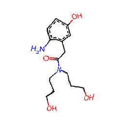 Nc1ccc(O)cc1CC(=O)N(CCCO)CCCO